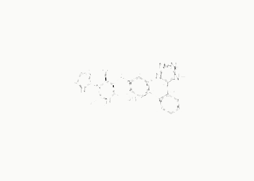 CCCCc1nc(C)n(-c2nccs2)c(=O)c1Cc1ccc(-c2ccccc2-c2nnn[nH]2)cc1